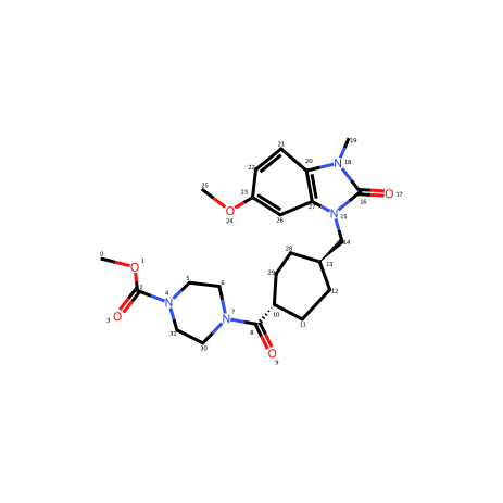 COC(=O)N1CCN(C(=O)[C@H]2CC[C@H](Cn3c(=O)n(C)c4ccc(OC)cc43)CC2)CC1